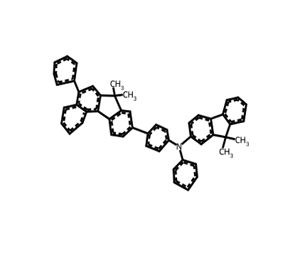 CC1(C)c2ccccc2-c2ccc(N(c3ccccc3)c3ccc(-c4ccc5c(c4)C(C)(C)c4cc(-c6ccccc6)c6ccccc6c4-5)cc3)cc21